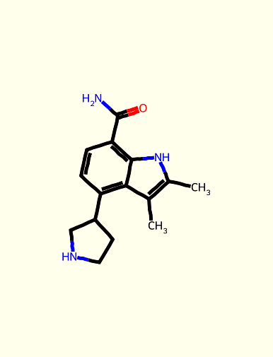 Cc1[nH]c2c(C(N)=O)ccc(C3CCNC3)c2c1C